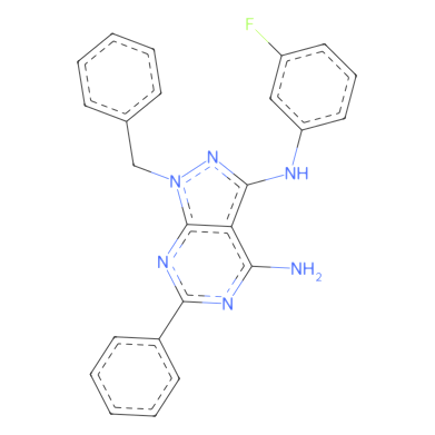 Nc1nc(-c2ccccc2)nc2c1c(Nc1cccc(F)c1)nn2Cc1ccccc1